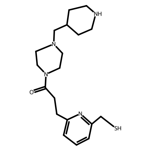 O=C(CCc1cccc(CS)n1)N1CCN(CC2CCNCC2)CC1